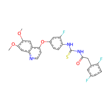 COc1cc2nccc(Oc3ccc(NC(=S)NC(=O)Cc4cc(F)ccc4F)c(F)c3)c2cc1OC